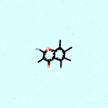 CC(=O)c1oc2c(C)c(C)c(C)c(C)c2c(=O)c1C